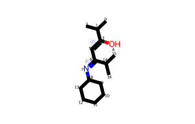 CC(C)/C(O)=C/C(=N/C1CCCCC1)C(C)C